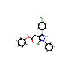 O=C(Cc1c(-c2ccc(Cl)cc2)nn(-c2ccccc2)c1Cl)Oc1ccccc1